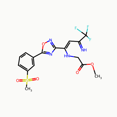 COC(=O)CN/C(=C\C(=N)C(F)(F)F)c1noc(-c2cccc(S(C)(=O)=O)c2)n1